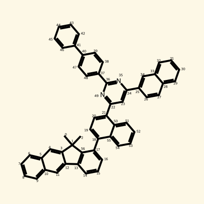 CC1(C)c2cc3ccccc3cc2-c2cccc(-c3ccc(-c4cc(-c5ccc6ccccc6c5)nc(-c5ccc(-c6ccccc6)cc5)n4)c4ccccc34)c21